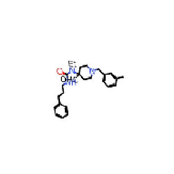 CCN(C(=O)NCCCc1ccccc1)C1(C=O)CCN(Cc2cccc(C)c2)CC1